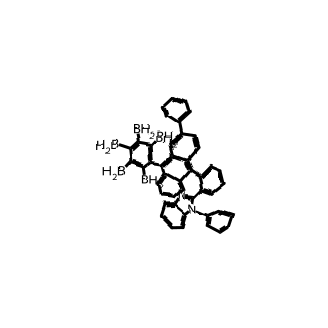 Bc1c(B)c(B)c(-c2c3ccccc3c(-c3ccccc3-c3nc4ccccc4n3-c3ccccc3)c3ccc(-c4ccccc4)cc23)c(B)c1B